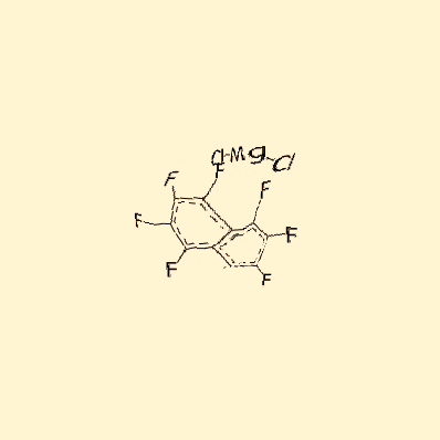 Fc1[c]c2c(F)c(F)c(F)c(F)c2c(F)c1F.[Cl][Mg][Cl]